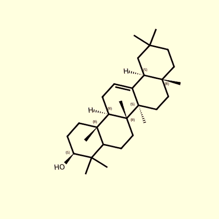 CC1(C)CC[C@]2(C)CC[C@]3(C)C(=CC[C@@H]4[C@@]5(C)CC[C@H](O)C(C)(C)C5CC[C@]43C)[C@H]2C1